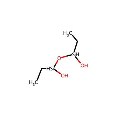 CC[SiH](O)O[SiH](O)CC